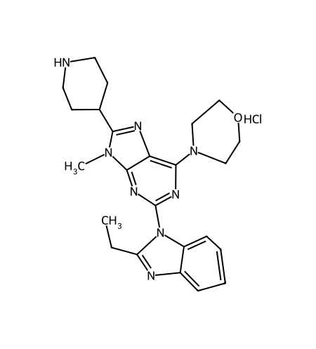 CCc1nc2ccccc2n1-c1nc(N2CCOCC2)c2nc(C3CCNCC3)n(C)c2n1.Cl